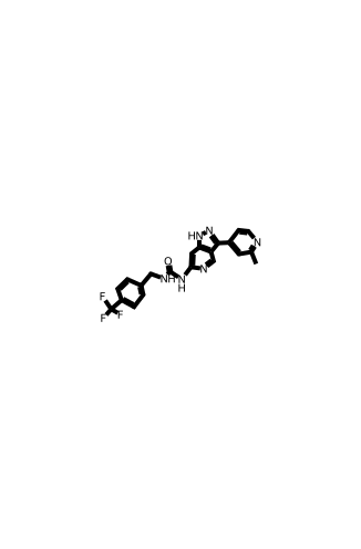 Cc1cc(-c2n[nH]c3cc(NC(=O)NCc4ccc(C(F)(F)F)cc4)ncc23)ccn1